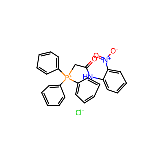 O=C(C[P+](c1ccccc1)(c1ccccc1)c1ccccc1)Nc1ccccc1[N+](=O)[O-].[Cl-]